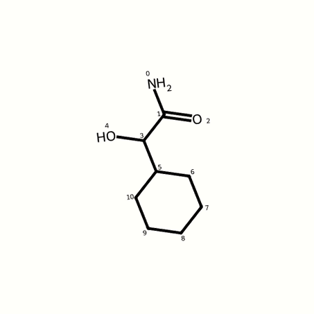 NC(=O)C(O)C1CCCCC1